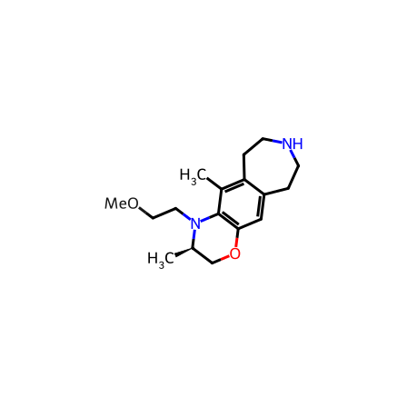 COCCN1c2c(cc3c(c2C)CCNCC3)OC[C@H]1C